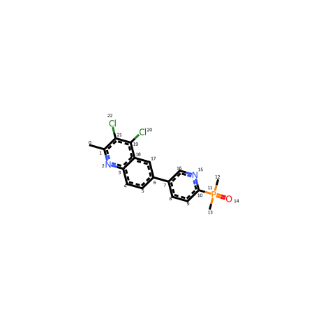 Cc1nc2ccc(-c3ccc(P(C)(C)=O)nc3)cc2c(Cl)c1Cl